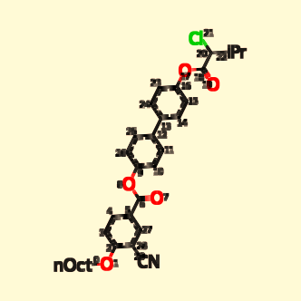 CCCCCCCCOc1ccc(C(=O)Oc2ccc(-c3ccc(OC(=O)C(Cl)C(C)C)cc3)cc2)cc1C#N